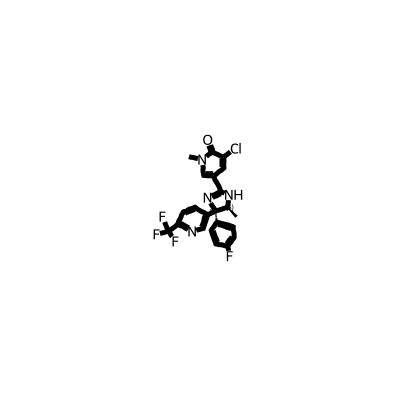 C[C@@H]1NC(c2cc(Cl)c(=O)n(C)c2)=N[C@]1(c1ccc(F)cc1)c1ccc(C(F)(F)F)nc1